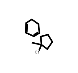 C1=CCCC=C1.CCC1(C)CCCC1